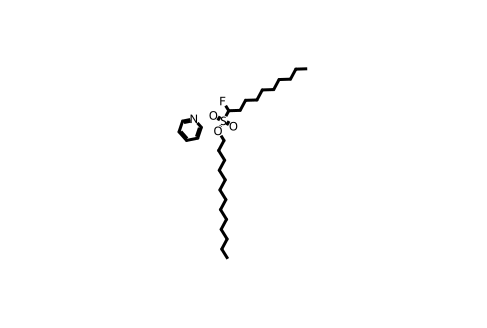 CCCCCCCCCCCCCOS(=O)(=O)C(F)CCCCCCCCC.c1ccncc1